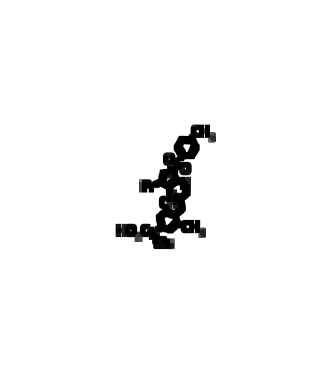 Cc1ccc(S(=O)(=O)n2cc(C(C)C)c3nc(Cc4c(C)cc(N(C(=O)O)C(C)(C)C)cc4C)cnc32)cc1